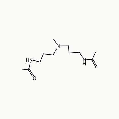 C=C(C)NCCCN(C)CCCNC(C)=O